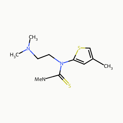 CNC(=S)N(CCN(C)C)c1cc(C)cs1